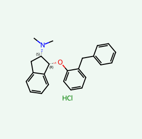 CN(C)[C@H]1Cc2ccccc2[C@H]1Oc1ccccc1Cc1ccccc1.Cl